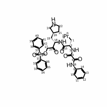 CC(C)C[C@H](NC(=O)C(=O)Nc1ccccc1)C(=O)N[C@@H](C[C@@H]1CCNC1)C(=O)COP(=O)(c1ccccc1)c1ccccc1